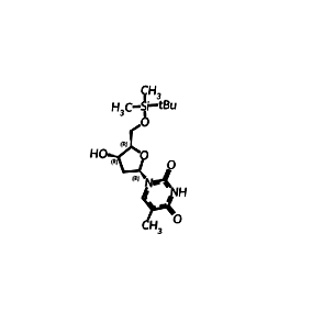 Cc1cn([C@H]2C[C@@H](O)[C@@H](CO[Si](C)(C)C(C)(C)C)O2)c(=O)[nH]c1=O